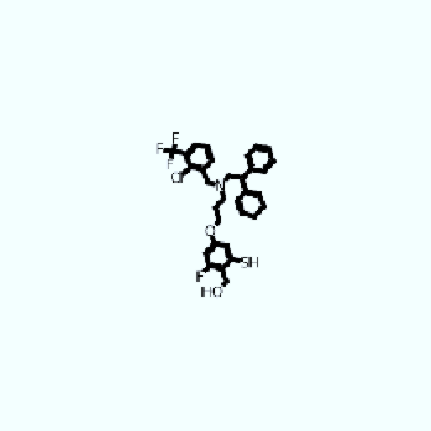 OCc1c(F)cc(OCCCN(Cc2cccc(C(F)(F)F)c2Cl)CC(C2=CCCC=C2)c2ccccc2)cc1S